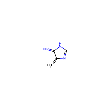 C=C1N=CNC1=N